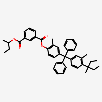 CCC(C)OC(=O)c1cccc(C(=O)Oc2ccc(C(c3ccccc3)(c3ccccc3)c3ccc(C(C)(CC)CC)c(C)c3)cc2C)c1